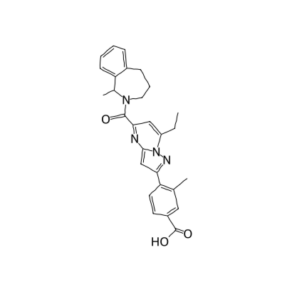 CCc1cc(C(=O)N2CCCc3ccccc3C2C)nc2cc(-c3ccc(C(=O)O)cc3C)nn12